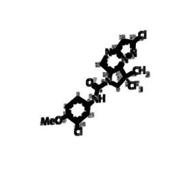 COc1ccc(NC(=O)N2C[C@@](C)(C(F)(F)F)c3c2cnc2cc(Cl)nn32)cc1Cl